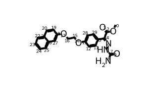 COC(=O)/C(=N/NC(N)=O)c1ccc(OCCOc2ccc3ccccc3c2)cc1